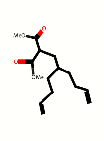 C=CCCC(CCC=C)CC(C(=O)OC)C(=O)OC